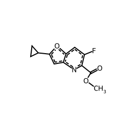 COC(=O)c1nc2cc(C3CC3)oc2cc1F